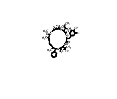 CCC(C)C1C(=O)NC(Cc2ccc(O)c(Cl)c2)C(=O)NC(C(C)(C)O)C(=O)OC(c2ccccc2)C(C)/C=C/C=C(\C)C(OC)CC2OC2(C)C(=O)N1C